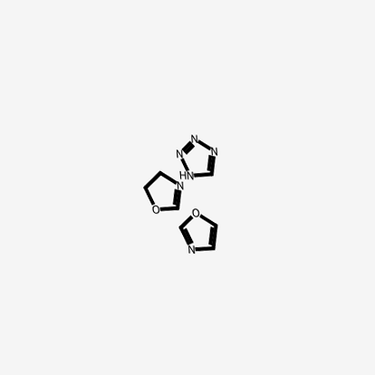 C1=NCCO1.c1cocn1.c1nnn[nH]1